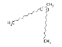 [CH2]C(COCCCCCCCCCCCC)OCCCCCCCCCCCC